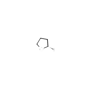 I[C@@H]1CCCO1